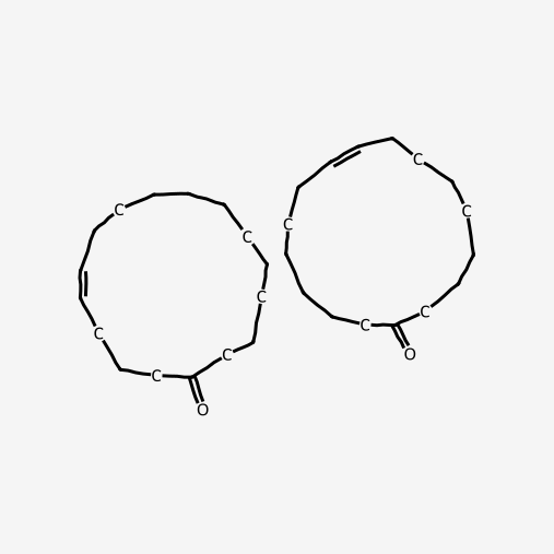 O=C1CCCC=CCCCCCCCCCC1.O=C1CCCCCCC=CCCCCCCC1